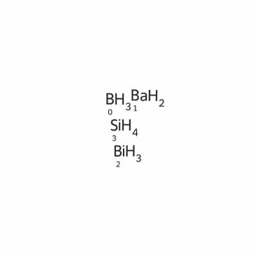 B.[BaH2].[BiH3].[SiH4]